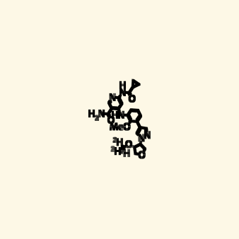 [2H]C([2H])([2H])O[C@H]1COC[C@@H]1n1cc(-c2cccc(Nc3cc(NC(=O)C4CC4)ncc3C(N)=O)c2OC)cn1